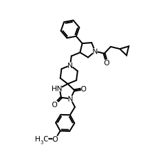 COc1ccc(CN2C(=O)NC3(CCN(CC4CN(C(=O)CC5CC5)CC4c4ccccc4)CC3)C2=O)cc1